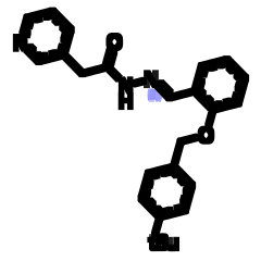 CC(C)(C)c1ccc(COc2ccccc2/C=N/NC(=O)Cc2cccnc2)cc1